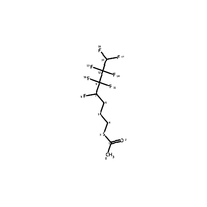 CC(=O)SCCCC(F)C(F)(F)C(F)(F)C(F)F